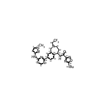 Cn1ccc(Nc2ncnc(-c3ccc4c(c3)CN(CC(F)(F)F)CCC4NC(=O)c3noc(C(C)(C)C)n3)n2)n1